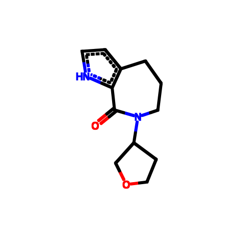 O=C1c2[nH]ccc2CCCN1C1CCOC1